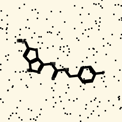 O=C(NCc1ccc(F)cc1)Nc1n[nH]c2cc(C(=O)O)sc12